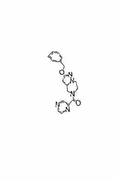 O=C(c1cnccn1)N1CCn2nc(OCc3ccccc3)cc2C1